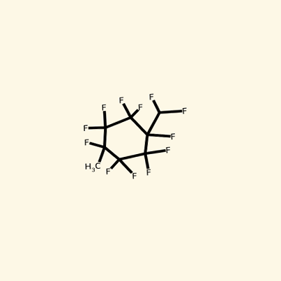 CC1(F)C(F)(F)C(F)(F)C(F)(C(F)F)C(F)(F)C1(F)F